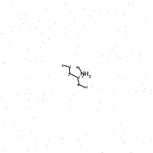 CCCCCC.CN